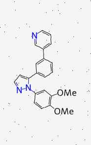 COc1ccc(-n2nccc2-c2cccc(-c3cccnc3)c2)cc1OC